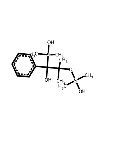 CC(C)(O[Si](C)(C)O)C(O)(c1ccccc1)[Si](C)(C)O